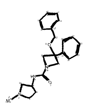 N#CN1CCC(NC(=O)N2CC(OCc3ccccc3)(c3ccccc3)C2)C1